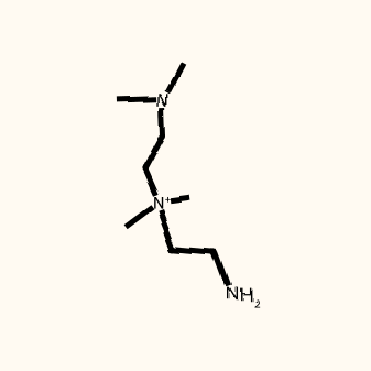 CN(C)CC[N+](C)(C)CCN